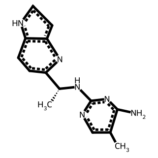 Cc1cnc(N[C@H](C)c2ccc3[nH]ccc3n2)nc1N